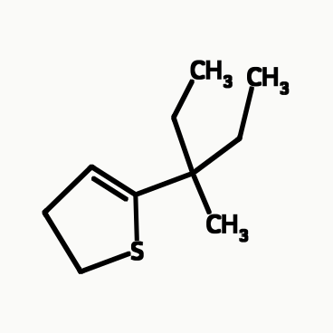 CCC(C)(CC)C1=CCCS1